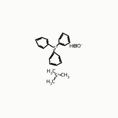 C[S+](C)C.[OH-].[OH-].c1ccc([S+](c2ccccc2)c2ccccc2)cc1